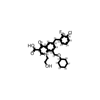 O=C(O)c1cn(CCO)c2c(COC3CCCCC3)cc(Cc3cccc(Cl)c3F)cc2c1=O